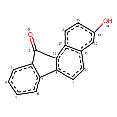 O=C1c2ccccc2-c2ccc3cc(O)ccc3c21